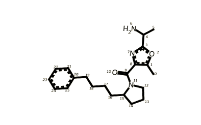 Cc1oc(C(C)N)nc1C(=O)N1CCCC1CCCCc1ccccc1